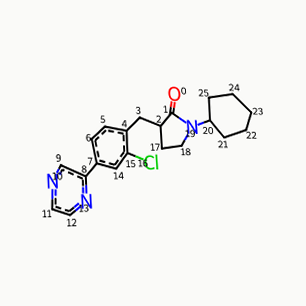 O=C1C(Cc2ccc(-c3cnccn3)cc2Cl)CCN1C1CCCCC1